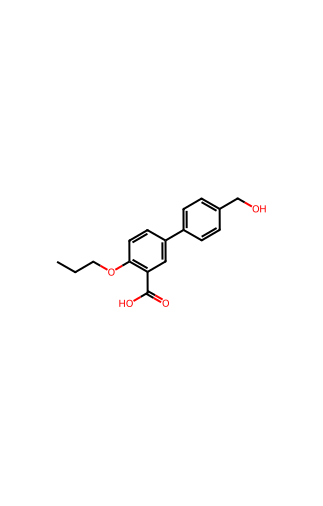 CCCOc1ccc(-c2ccc(CO)cc2)cc1C(=O)O